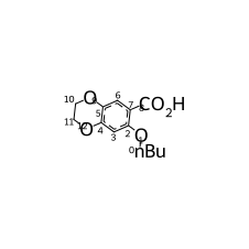 CCCCOc1cc2c(cc1C(=O)O)OCCO2